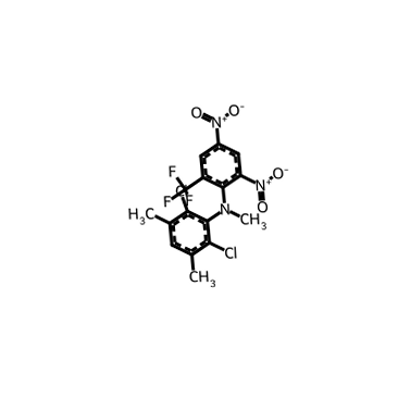 Cc1cc(C)c(Cl)c(N(C)c2c([N+](=O)[O-])cc([N+](=O)[O-])cc2C(F)(F)F)c1Cl